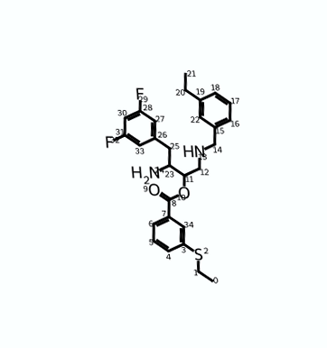 CCSc1cccc(C(=O)OC(CNCc2cccc(CC)c2)C(N)Cc2cc(F)cc(F)c2)c1